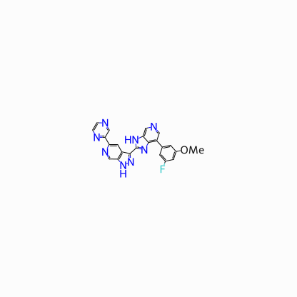 COc1cc(F)cc(-c2cncc3[nH]c(-c4n[nH]c5cnc(-c6cnccn6)cc45)nc23)c1